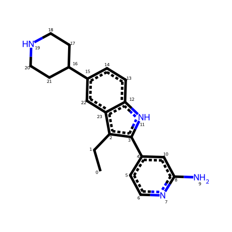 CCc1c(-c2ccnc(N)c2)[nH]c2ccc(C3CCNCC3)cc12